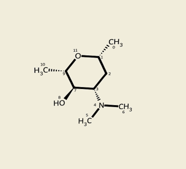 C[C@@H]1C[C@H](N(C)C)[C@@H](O)[C@H](C)O1